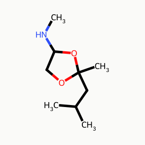 CNC1COC(C)(CC(C)C)O1